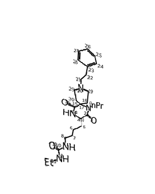 CCCN1C(=O)[C@H](CCCCNC(=O)NCC)NC(=O)C12CCN(CCc1ccccc1)CC2